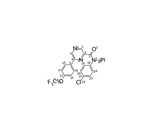 CC(C)N(C(=O)c1cncc(-c2ccc(OC(F)(F)F)cc2)n1)c1ccc(Cl)cc1